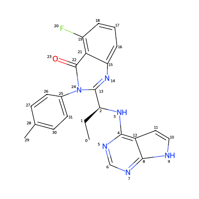 CC[C@H](Nc1ncnc2[nH]ccc12)c1nc2cccc(F)c2c(=O)n1-c1ccc(C)cc1